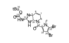 Cn1c(C(=O)N2CC=CC3N=C(NC(=O)OC(C)(C)C)NC32)cc(Br)c1Br